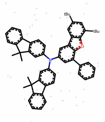 CC(C)(C)c1cc(C(C)(C)C)c2oc3c(-c4ccccc4)cc(N(c4ccc5c(c4)C(C)(C)c4ccccc4-5)c4ccc5c(c4)C(C)(C)c4ccccc4-5)cc3c2c1